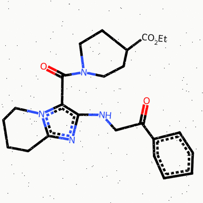 CCOC(=O)C1CCN(C(=O)c2c(NCC(=O)c3ccccc3)nc3n2CCCC3)CC1